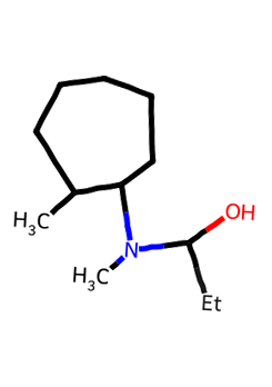 CCC(O)N(C)C1CCCCCC1C